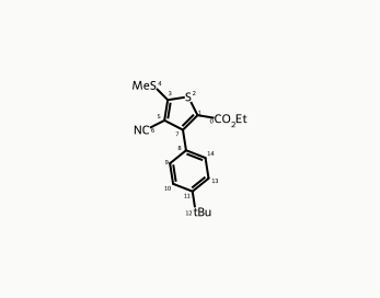 CCOC(=O)c1sc(SC)c(C#N)c1-c1ccc(C(C)(C)C)cc1